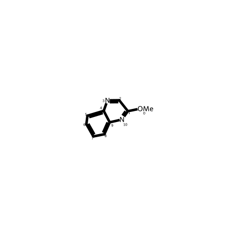 [CH2]Oc1cnc2ccccc2n1